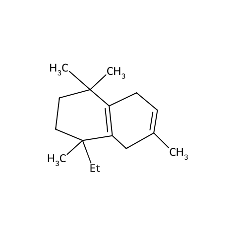 CCC1(C)CCC(C)(C)C2=C1CC(C)=CC2